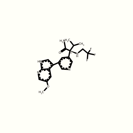 COc1cnc2[nH]cc(-c3cncc([C@](NCC(F)(F)F)(C(N)=O)C(C)C)c3)c2c1